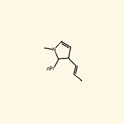 C/C=C/C1C=CN(C)C1CCC